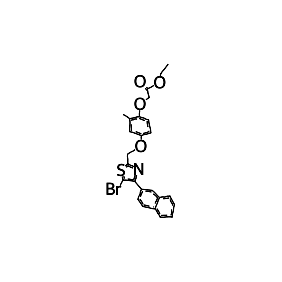 CCOC(=O)COc1ccc(OCc2nc(-c3ccc4ccccc4c3)c(Br)s2)cc1C